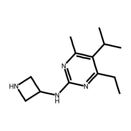 CCc1nc(NC2CNC2)nc(C)c1C(C)C